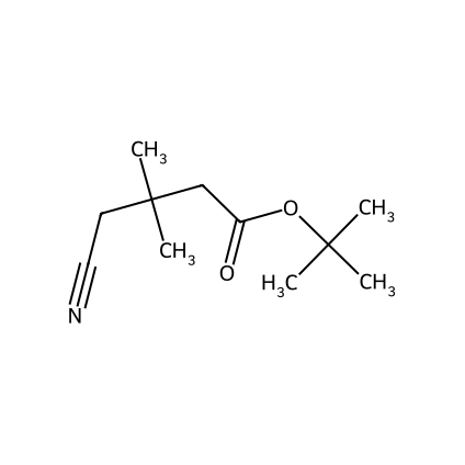 CC(C)(CC#N)CC(=O)OC(C)(C)C